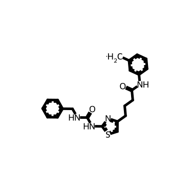 [CH2]c1cccc(NC(=O)CCCc2csc(NC(=O)NCc3ccccc3)n2)c1